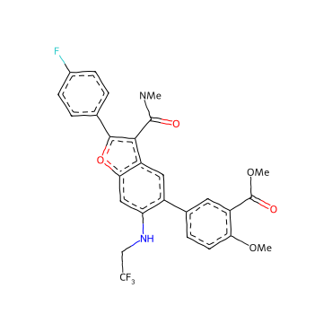 CNC(=O)c1c(-c2ccc(F)cc2)oc2cc(NCC(F)(F)F)c(-c3ccc(OC)c(C(=O)OC)c3)cc12